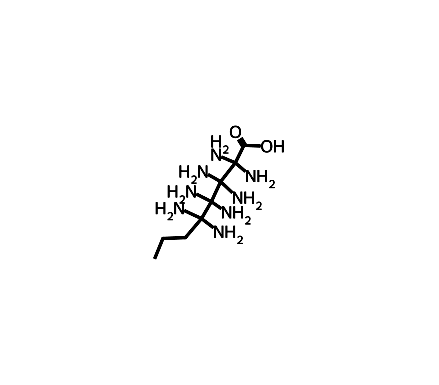 CCCC(N)(N)C(N)(N)C(N)(N)C(N)(N)C(=O)O